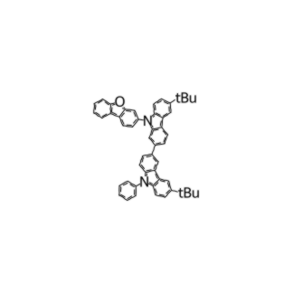 CC(C)(C)c1ccc2c(c1)c1cc(-c3ccc4c5cc(C(C)(C)C)ccc5n(-c5ccc6c(c5)oc5ccccc56)c4c3)ccc1n2-c1ccccc1